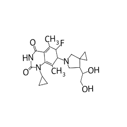 CC1=c2c(=O)[nH]c(=O)n(C3CC3)c2=C(C)C(N2CC(C(O)CO)C3(CC3)C2)C1F